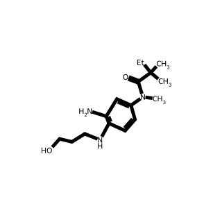 CCC(C)(C)C(=O)N(C)c1ccc(NCCCO)c(N)c1